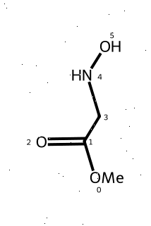 COC(=O)CNO